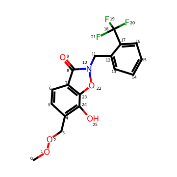 COOCc1ccc2c(=O)n(Cc3ccccc3C(F)(F)F)oc2c1O